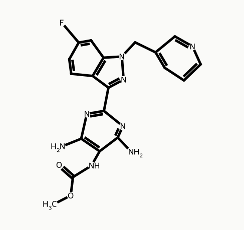 COC(=O)Nc1c(N)nc(-c2nn(Cc3cccnc3)c3cc(F)ccc23)nc1N